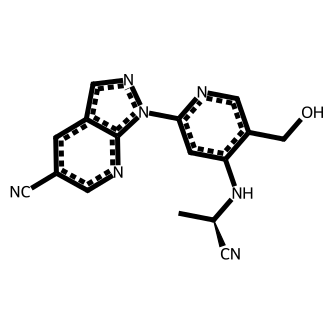 C[C@H](C#N)Nc1cc(-n2ncc3cc(C#N)cnc32)ncc1CO